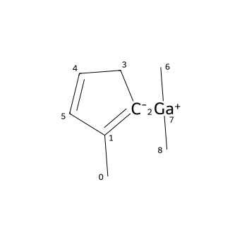 CC1=[C-]CC=C1.[CH3][Ga+][CH3]